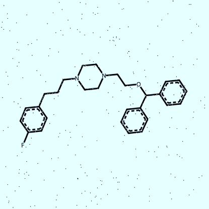 Fc1ccc(CCCN2CCN(CCOC(c3ccccc3)c3ccccc3)CC2)cc1